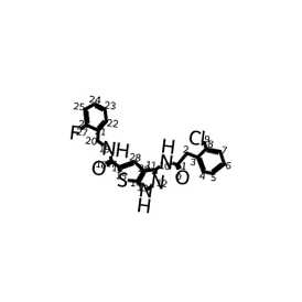 O=C(Cc1ccccc1Cl)Nc1n[nH]c2sc(C(=O)NCc3ccccc3F)cc12